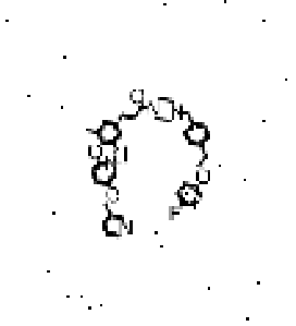 Cc1cc(/C=C/C(=O)N2CCN(Cc3ccc(CCOc4ccc(F)cc4)cc3)CC2)cc(Cl)c1Oc1ccc(OCc2cccnc2)cn1